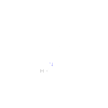 CN(CCCC1c2ccccc2C=Cc2ccccc21)Cc1[c]cc2ccccc2c1